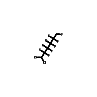 FCC(F)(F)C(F)(F)C(F)(F)C(F)(F)C(Cl)Cl